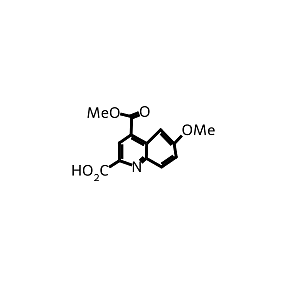 COC(=O)c1cc(C(=O)O)nc2ccc(OC)cc12